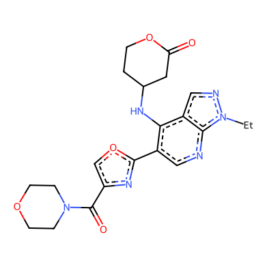 CCn1ncc2c(NC3CCOC(=O)C3)c(-c3nc(C(=O)N4CCOCC4)co3)cnc21